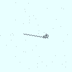 CCCCCCCCCCCCCCCCN1CC(C)OC(C)C1